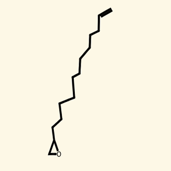 C=CCCCCCCCCCCC1CO1